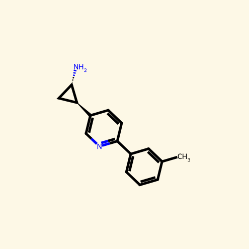 Cc1cccc(-c2ccc([C@H]3C[C@@H]3N)cn2)c1